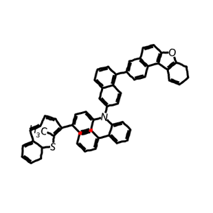 C\C1=C(c2ccc(N(c3ccc4c(-c5ccc6c(ccc7oc8c(c76)C=CCC8)c5)cccc4c3)c3ccccc3-c3ccccc3)cc2)/C=C\C=C\C2=CC=CCC2S1